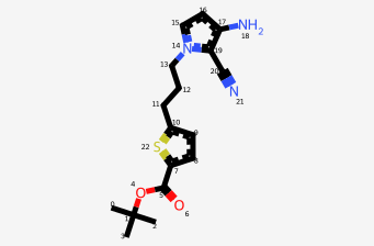 CC(C)(C)OC(=O)c1ccc(CCCn2ccc(N)c2C#N)s1